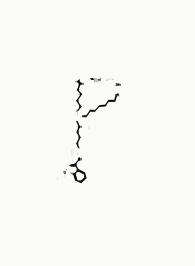 CCCCCCCCCCCOC(=O)CCCCCN(CCCCCCCC(=O)OC(CCCCCCCC)CCCCCCCC)CC(O)CCCCNC(=O)c1cn(C)c2ccccc12